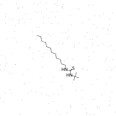 CCCCCCCCCCCCNC(=S)NC(C)(C)C